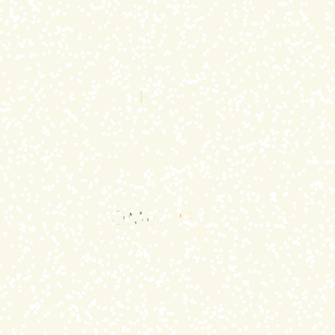 COc1cccc(F)c1-c1cccc2c1OCCC2